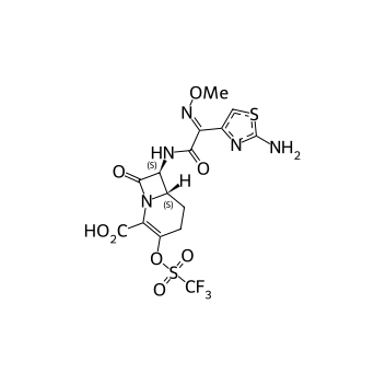 CON=C(C(=O)N[C@@H]1C(=O)N2C(C(=O)O)=C(OS(=O)(=O)C(F)(F)F)CC[C@@H]12)c1csc(N)n1